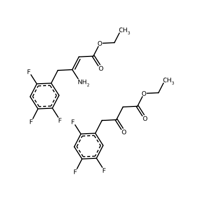 CCOC(=O)C=C(N)Cc1cc(F)c(F)cc1F.CCOC(=O)CC(=O)Cc1cc(F)c(F)cc1F